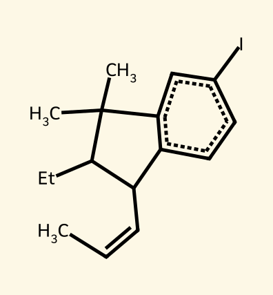 C/C=C\C1c2ccc(I)cc2C(C)(C)C1CC